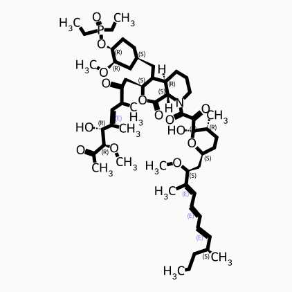 CCC[C@H](C)/C=C/C=C/C=C(\C)[C@H](C[C@@H]1CC[C@@H](C)[C@](O)(C(=O)C(=O)N2CCC[C@@H]3C(C[C@@H]4CC[C@@H](OP(=O)(CC)CC)[C@H](OC)C4)[C@H](CC(=O)C(C)/C=C(\C)[C@@H](O)[C@@H](OC)C(C)=O)OC(=O)[C@H]32)O1)OC